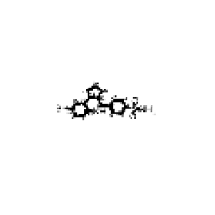 NS(=O)(=O)c1ccc(C2Nc3ccc(Br)cc3C3C=CCC32)cc1